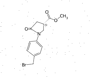 COC(=O)[C@H]1CC(=O)N(c2ccc(CBr)cc2)C1